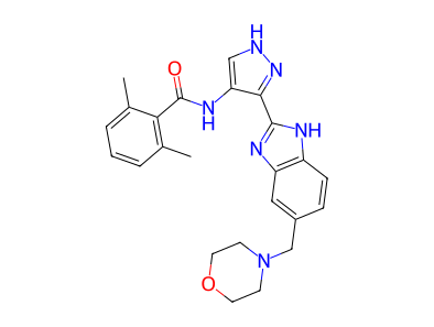 Cc1cccc(C)c1C(=O)Nc1c[nH]nc1-c1nc2cc(CN3CCOCC3)ccc2[nH]1